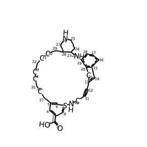 O=C(O)C1=CC2=CS(=C1)NCC#CC1=Cc3cccc(c3C1)NC1CCNCC1CCCCCCCCC2